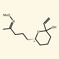 C=CC1(O)CCC[C@H](CCCC(C)=NOC)O1